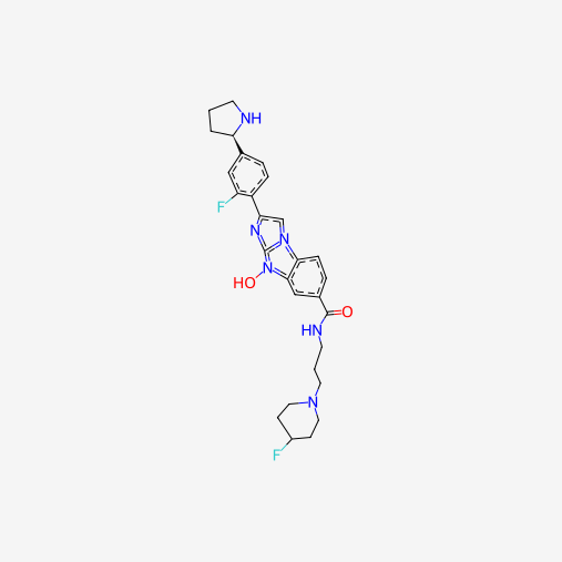 O=C(NCCCN1CCC(F)CC1)c1ccc2c(c1)n(O)c1nc(-c3ccc([C@H]4CCCN4)cc3F)cn21